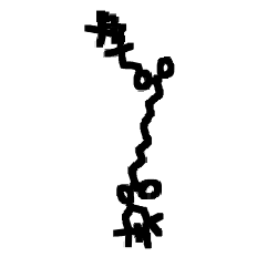 CCC(C)(C)N(C)C(C)(C)CCOC(=O)CCCCCCCCC(=O)OC1CC(C)(C)N(C)C(C)(C)C1